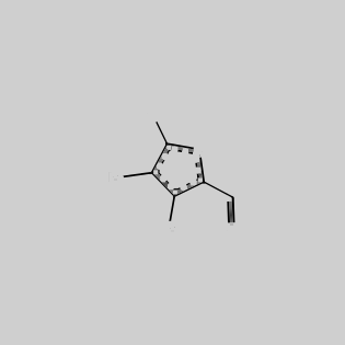 O=Cc1sc(Br)c(Br)c1Br